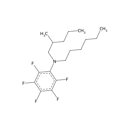 CCCCCCN(CC(C)CCC)c1c(F)c(F)c(F)c(F)c1F